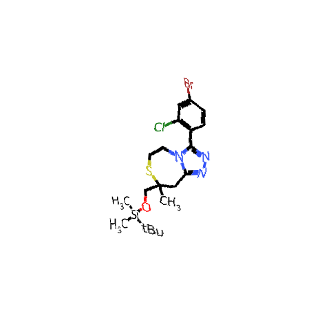 CC1(CO[Si](C)(C)C(C)(C)C)Cc2nnc(-c3ccc(Br)cc3Cl)n2CCS1